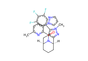 Cc1ccc(-n2cccn2)c(C(=O)N2[C@H]3CCC[C@@H]2c2nn(C)c(-c4cc(F)c(F)c(F)c4)c2C3)n1